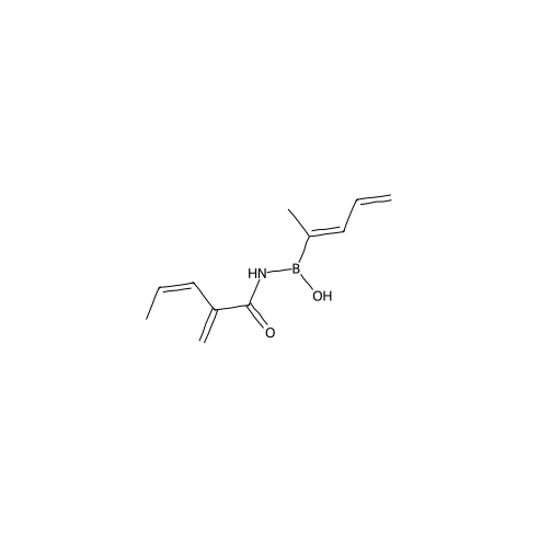 C=C/C=C(\C)B(O)NC(=O)C(=C)/C=C\C